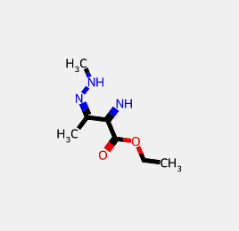 CCOC(=O)C(=N)/C(C)=N\NC